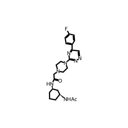 CC(=O)N[C@H]1CCC[C@@H](NC(=O)CN2CCN(c3nncc(-c4ccc(F)cc4)n3)CC2)C1